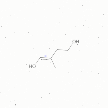 C/C(=C\O)CCO